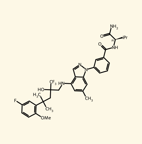 COc1ccc(F)cc1C(C)(C)CC(O)(CNc1cc(C)cc2c1cnn2-c1cccc(C(=O)N[C@@H](C(N)=O)C(C)C)c1)C(F)(F)F